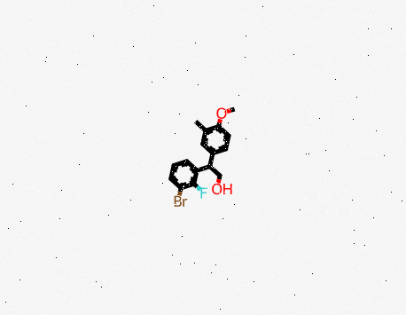 COc1ccc(C(CO)c2cccc(Br)c2F)cc1C